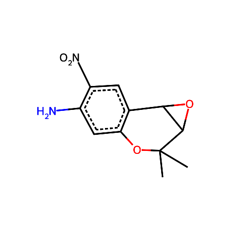 CC1(C)Oc2cc(N)c([N+](=O)[O-])cc2C2OC21